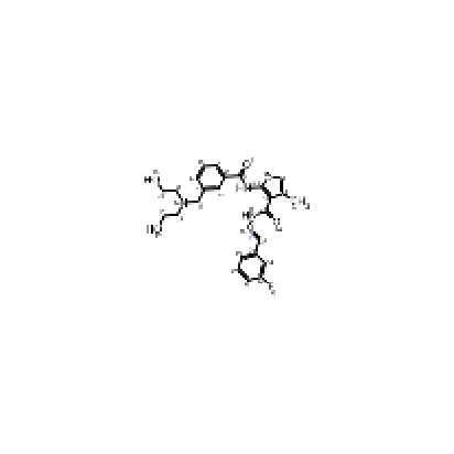 Cc1csc(NC(=O)c2cccc(CN(CCO)CCO)c2)c1C(=O)N/N=C/c1cccc(F)c1